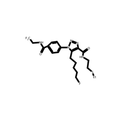 CCSCCNC(=O)c1nnn(-c2ccc(C(=O)NCC(F)(F)F)cc2)c1CCCCCF